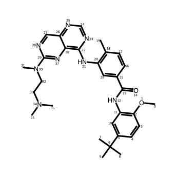 COc1ccc(C(C)(C)C)cc1NC(=O)c1ccc(C)c(Nc2ncnc3cnc(N(C)CCN(C)C)nc23)c1